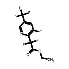 CCOC(=O)C(F)(F)c1ncc(C(F)(F)F)cc1F